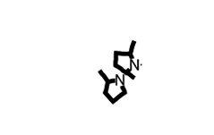 CC1CCC(C)(N2CCCC2C)[N]1